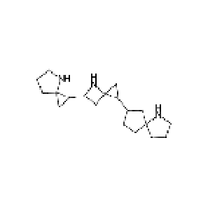 C1CNC2(C1)CCC(C1CC13CC(C1CC14CCCN4)N3)C2